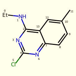 [CH2]CNc1nc(Cl)nc2ccc(C)cc12